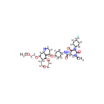 COCCOc1cc2nccc(Oc3ccc(NC(=O)c4cn(C)c(=O)n(-c5ccc(F)cc5)c4=O)cc3)c2c2c1CCOCCO2